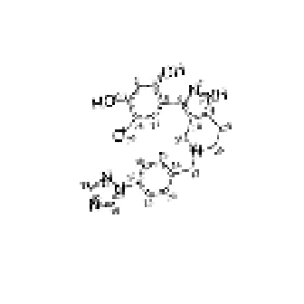 Oc1cc(O)c(-c2n[nH]c3c2CN(Cc2ccc(-n4cncn4)cc2)CC3)cc1Cl